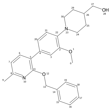 COc1cc(-c2ccc(C)nc2OCc2ccccc2)ccc1N1CCC(CO)CC1